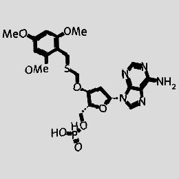 COc1cc(OC)c(CSCO[C@H]2C[C@H](n3cnc4c(N)ncnc43)O[C@@H]2CO[PH](=O)O)c(OC)c1